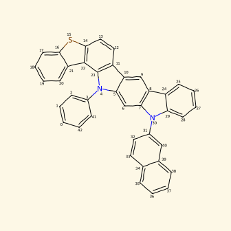 c1ccc(-n2c3cc4c(cc3c3ccc5sc6ccccc6c5c32)c2ccccc2n4-c2ccc3ccccc3c2)cc1